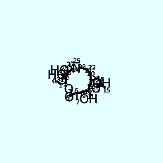 CC[C@H]1OC(=O)[C@H](C)[C@@H](O)[C@H](C)[C@@H](OC(C)C)[C@](C)(O)C[C@@H](C)CN(C)[C@H](C)[C@@H](O)[C@]1(C)O